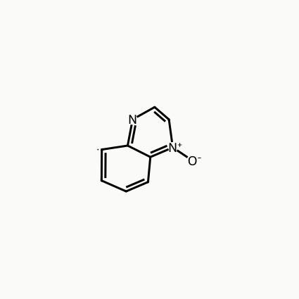 [O-][n+]1ccnc2[c]cccc21